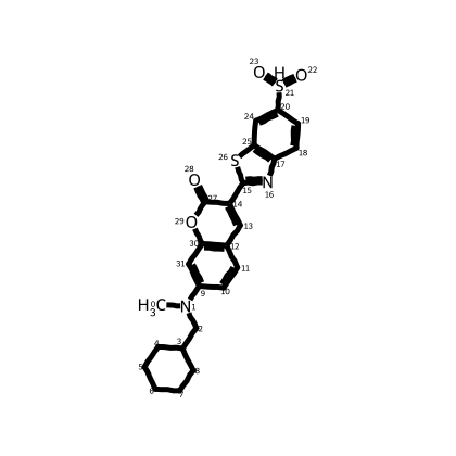 CN(CC1CCCCC1)c1ccc2cc(-c3nc4ccc([SH](=O)=O)cc4s3)c(=O)oc2c1